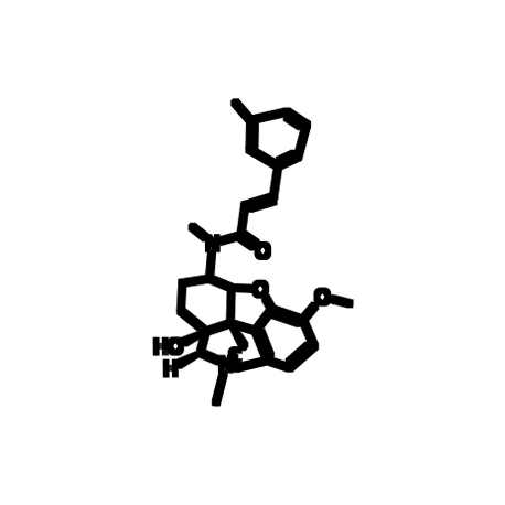 COc1ccc2c3c1OC1C(N(C)C(=O)/C=C/c4cccc(C)c4)CC[C@@]4(O)[C@@H](C2)N(C)CC[C@]314